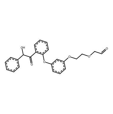 O=CCOCCOc1cccc(Oc2ccccc2C(=O)C(O)c2ccccc2)c1